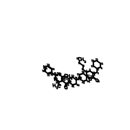 CCCCC1CN(CC2CCCCC2)C(=O)OC12CCN(C1CCN(C(=O)c3c(C)nc(-c4ccncc4)nc3C)CC1)CC2